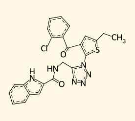 CCc1cc(C(=O)c2ccccc2Cl)c(-n2nnnc2CNC(=O)c2cc3ccccc3[nH]2)s1